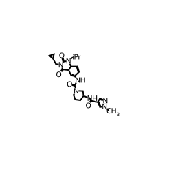 CC(C)N1C(=O)N(CC2CC2)C(=O)C2C=C(NC(=O)N3CCCC(NC(=O)c4cnn(C)c4)C3)C=CC21